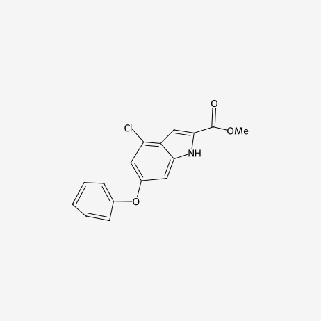 COC(=O)c1cc2c(Cl)cc(Oc3ccccc3)cc2[nH]1